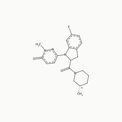 C[C@H]1CCCN(C(=O)C2Cc3ccc(F)cc3N2c2ccc(=O)n(C)n2)C1